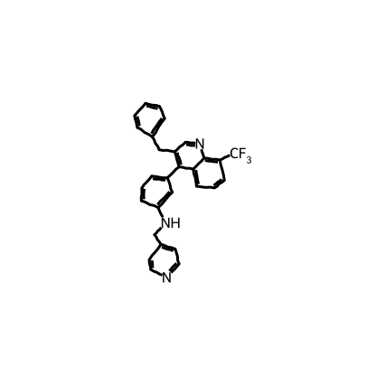 FC(F)(F)c1cccc2c(-c3cccc(NCc4ccncc4)c3)c(Cc3ccccc3)cnc12